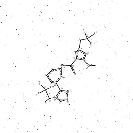 COc1nn(CC(F)(F)F)cc1C(=O)Nc1cccc(-c2nncn2C(C)C(F)(F)F)n1